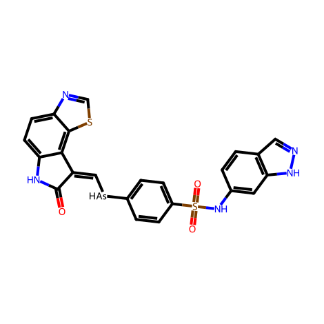 O=C1Nc2ccc3ncsc3c2C1=C[AsH]c1ccc(S(=O)(=O)Nc2ccc3cn[nH]c3c2)cc1